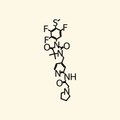 CSc1c(F)cc(N2C(=O)N(Cc3ccnc(NC(=O)CN4CCCC4)c3)C(C)(C)C2=O)c(F)c1F